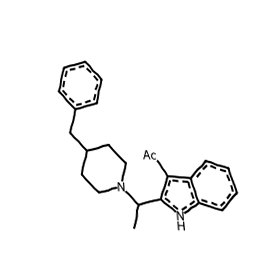 CC(=O)c1c(C(C)N2CCC(Cc3ccccc3)CC2)[nH]c2ccccc12